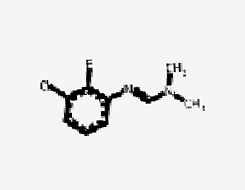 CN(C)/C=N/c1cccc(Cl)c1F